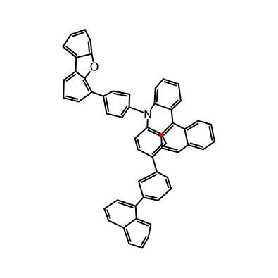 c1cc(-c2ccc(N(c3ccc(-c4cccc5c4oc4ccccc45)cc3)c3ccccc3-c3cccc4ccccc34)cc2)cc(-c2cccc3ccccc23)c1